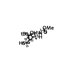 COC(=O)CNCCC(C)(C)c1cc(SC(C)(C)S)cc(C(C)(C)C)c1O